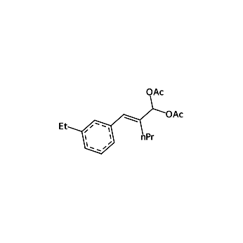 CCC/C(=C\c1cccc(CC)c1)C(OC(C)=O)OC(C)=O